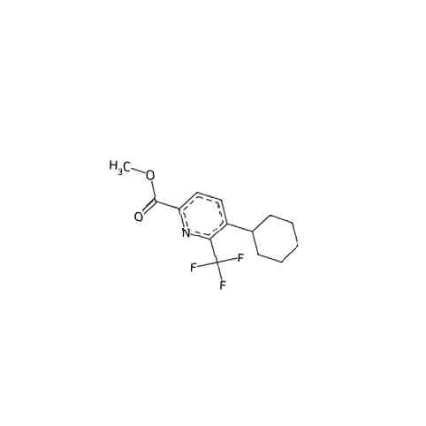 COC(=O)c1ccc(C2CCCCC2)c(C(F)(F)F)n1